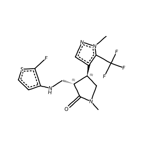 CN1C[C@H](c2cnn(C)c2C(F)(F)F)[C@@H](CNc2ccsc2F)C1=O